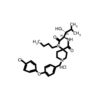 CCCCN1C(=O)[C@@H]([C@H](O)C(C)C)NC(=O)C12CCN(Cc1ccc(Oc3ccc(Cl)cc3)cc1)CC2.Cl